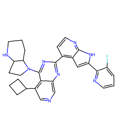 Fc1cccnc1-c1cc2c(-c3nc(N4CCC5NCCCC54)c4c(C5CCC5)cncc4n3)ccnc2[nH]1